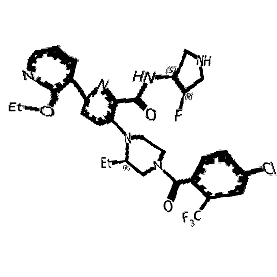 CCOc1ncccc1-c1ccc(N2CCN(C(=O)c3ccc(Cl)cc3C(F)(F)F)C[C@H]2CC)c(C(=O)N[C@H]2CNC[C@H]2F)n1